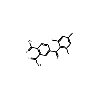 Cc1cc(C)c(C(=O)c2ccc(C(=O)O)c(C(=O)O)c2)c(C)c1